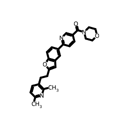 Cc1ccc(CCc2cc3cc(-c4ccc(C(=O)N5CCOCC5)cn4)ccc3o2)c(C)n1